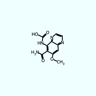 COc1cc2nccnc2c(NC(=O)O)c1C(N)=O